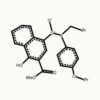 COC(=O)c1cc([S+]([O-])N(CC(C)C)c2ccc(OC(C)C)cc2)c2ccccc2c1O